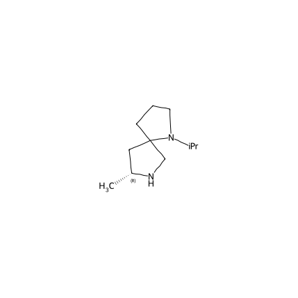 CC(C)N1CCCC12CN[C@H](C)C2